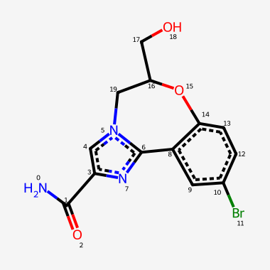 NC(=O)c1cn2c(n1)-c1cc(Br)ccc1OC(CO)C2